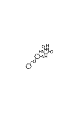 O=c1cc(Nc2cccc(OCc3ccccc3)c2)[nH]c(=O)[nH]1